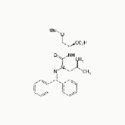 C=C(C)CN(N=C(c1ccccc1)c1ccccc1)C(=O)N[C@@H](COC(C)(C)C)C(=O)O